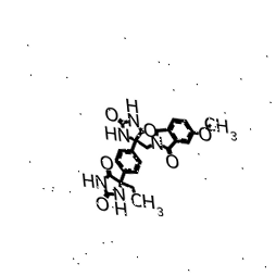 CCC1(c2ccc(C3(CN4Cc5ccc(OC)cc5C4=O)NC(=O)NC3=O)cc2)NC(=O)NC1=O